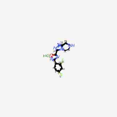 Cl.Fc1ccc(-c2noc(-c3nnc4n3CCNC4)n2)c(F)c1